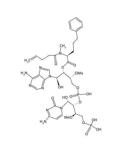 C=CCCC(=O)N(C)[C@@H](CCCc1ccccc1)C(=O)O[C@@H]([C@@H](O)n1cnc2c(N)ncnc21)[C@@H](COP(=O)(O)O[C@@H]([C@@H](O)n1ccc(N)nc1=O)[C@@H](COP(=O)(O)O)OC)OC